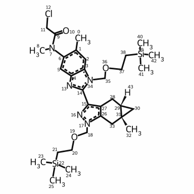 Cc1cc2c(cc1N(C)C(=O)CCl)nc(-c1nn(COCC[Si](C)(C)C)c3c1C[C@@H]1C[C@]1(C)C3)n2COCC[Si](C)(C)C